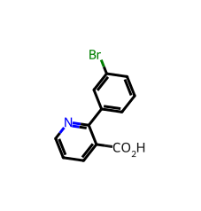 O=C(O)c1cccnc1-c1cccc(Br)c1